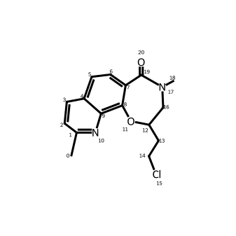 Cc1ccc2ccc3c(c2n1)OC(CCCl)CN(C)C3=O